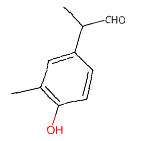 Cc1cc(C(C)C=O)ccc1O